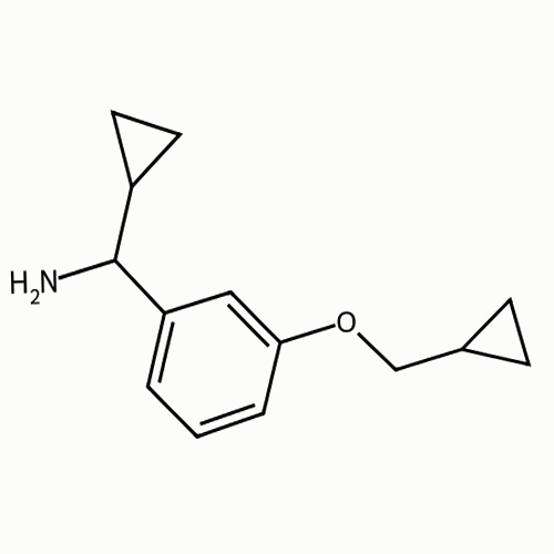 NC(c1cccc(OCC2CC2)c1)C1CC1